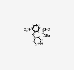 CC(C)(C)OC=O.O=[N+]([O-])c1cnccc1SC1CCNCC1